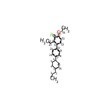 CCCC1CCC(c2ccc(-c3ccc(OCC)c(F)c3CC)cc2)CC1